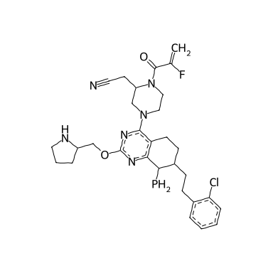 C=C(F)C(=O)N1CCN(c2nc(OCC3CCCN3)nc3c2CCC(CCc2ccccc2Cl)C3P)CC1CC#N